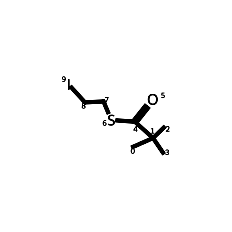 CC(C)(C)C(=O)SCCI